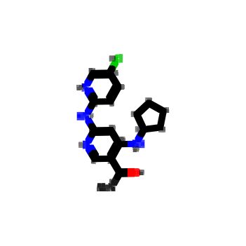 CNC(=O)c1cnc(Nc2ccc(Cl)cn2)cc1NC1CCCC1